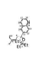 CC[Si](CC)(CC)O[C@H](C/C=C(/C)I)c1ccc2ncccc2c1